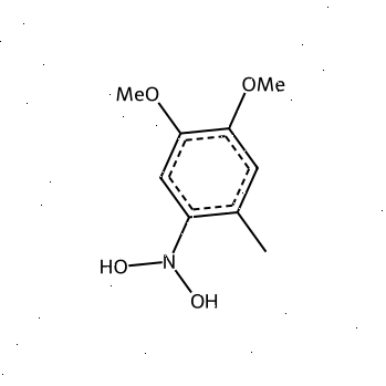 COc1cc(C)c(N(O)O)cc1OC